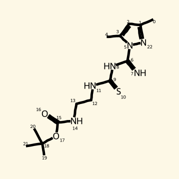 Cc1cc(C)n(C(=N)NC(=S)NCCNC(=O)OC(C)(C)C)n1